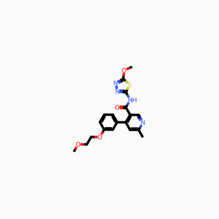 COCCOc1cccc(-c2cc(C)ncc2C(=O)Nc2nnc(OC)s2)c1